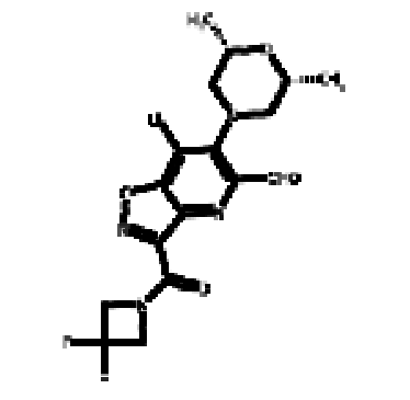 C[C@@H]1CN(c2c(C=O)nc3c(C(=O)N4CC(F)(F)C4)noc3c2Cl)C[C@H](C)O1